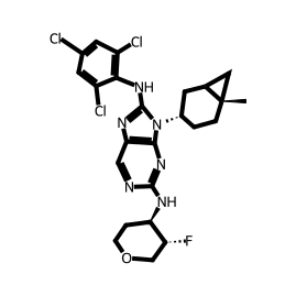 C[C@@]12CC[C@H](n3c(Nc4c(Cl)cc(Cl)cc4Cl)nc4cnc(N[C@@H]5CCOC[C@H]5F)nc43)CC1C2